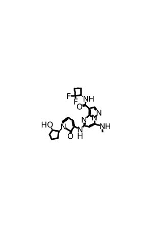 CNc1cc(Nc2cccn([C@H]3CCC[C@H]3O)c2=O)nc2c(C(=O)N[C@H]3CCC3(F)F)cnn12